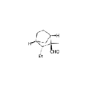 CC[C@@H]1[C@@H]2CC[C@@H](C2)[C@@]1(C)C=O